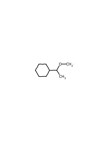 [CH2]OC(C)C1CCCCC1